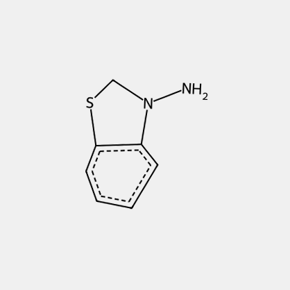 NN1CSc2ccccc21